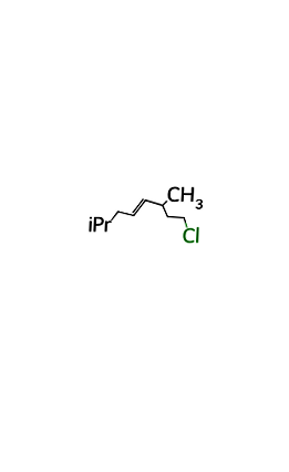 CC(C)CC=CC(C)CCCl